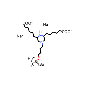 CC(C)(C)[Si](C)(C)OCCCCN1CC(CCCCCC(=O)[O-])NC(CCCCCC(=O)[O-])C1.[Na+].[Na+]